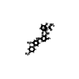 Cc1cc(Nc2ncc(F)c(N[C@H]3[C@@H](C(N)=O)[C@H]4C=C[C@H]3C4)n2)ccc1N1CCN(C)CC1